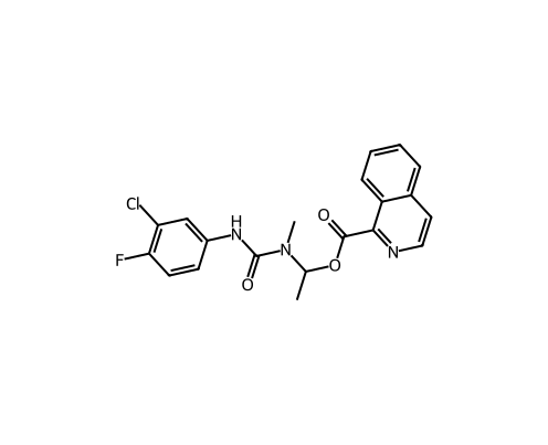 CC(OC(=O)c1nccc2ccccc12)N(C)C(=O)Nc1ccc(F)c(Cl)c1